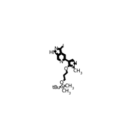 Cn1ncc(-c2cc3c(I)n[nH]c3cn2)c1OCCCO[Si](C)(C)C(C)(C)C